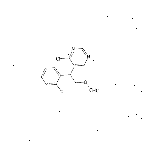 O=COCC(c1ccccc1F)c1cncnc1Cl